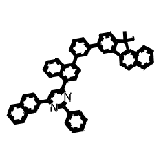 CC1(C)c2ccc(-c3cccc(-c4ccc(-c5cc(-c6ccc7ccccc7c6)nc(-c6ccccc6)n5)c5ccccc45)c3)cc2-c2ccc3ccccc3c21